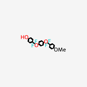 COc1ccc(C(F)(F)Oc2ccc(OC(F)(F)c3ccc(O)cc3)cc2)cc1